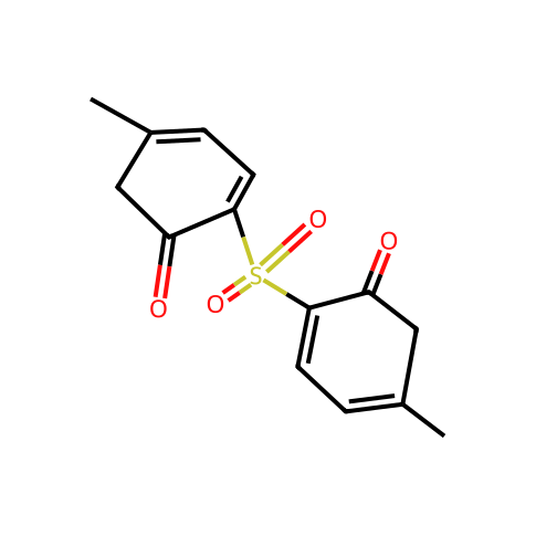 CC1=CC=C(S(=O)(=O)C2=CC=C(C)CC2=O)C(=O)C1